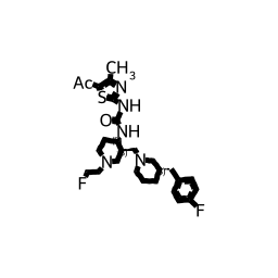 CC(=O)c1sc(NC(=O)N[C@@H]2CCN(CCF)C[C@@H]2CN2CCC[C@@H](Cc3ccc(F)cc3)C2)nc1C